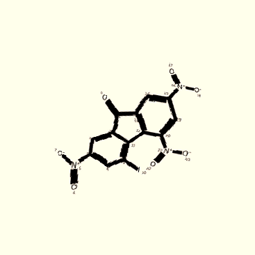 O=C1c2cc([N+](=O)[O-])cc(I)c2-c2c1cc([N+](=O)[O-])cc2[N+](=O)[O-]